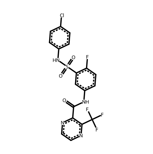 O=C(Nc1ccc(F)c(S(=O)(=O)Nc2ccc(Cl)cc2)c1)c1nccnc1C(F)(F)F